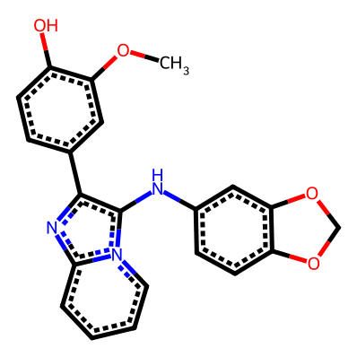 COc1cc(-c2nc3ccccn3c2Nc2ccc3c(c2)OCO3)ccc1O